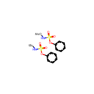 CC(C)(C)NS(=O)(=O)Oc1ccccc1.CONS(=O)(=O)Oc1ccccc1